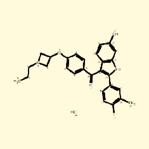 CCCN1CC(Oc2ccc(C(=O)c3c(-c4ccc(F)c(C)c4)sc4cc(O)ccc34)cc2)C1.Cl